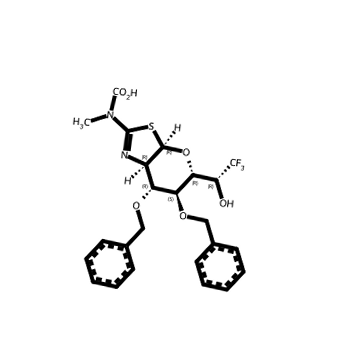 CN(C(=O)O)C1=N[C@@H]2[C@@H](OCc3ccccc3)[C@H](OCc3ccccc3)[C@@H]([C@@H](O)C(F)(F)F)O[C@@H]2S1